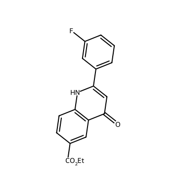 CCOC(=O)c1ccc2[nH]c(-c3cccc(F)c3)cc(=O)c2c1